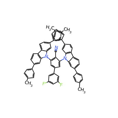 Cc1ccc(-c2ccc3c4ccc(-c5ccc(C)cc5)cc4n(-c4cc(-c5cc(F)cc(F)c5)cc(-n5c6cc(-c7ccc(C)cc7)ccc6c6ccc(-c7ccc(C)cc7)cc65)c4C#N)c3c2)cc1